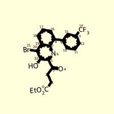 CCOC(=O)CCC(=O)c1nc2c(-c3cccc(C(F)(F)F)c3)cccc2c(Br)c1O